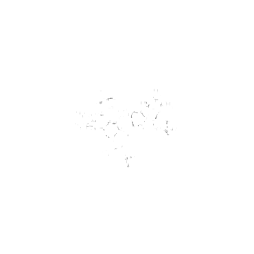 CCc1cc2c(cc1Cc1cc3c(cc1CC)NC(C)(C)C=C3CS(=O)(=O)[O-])C(CS(=O)(=O)[O-])=CC(C)(C)N2.[Na+].[Na+]